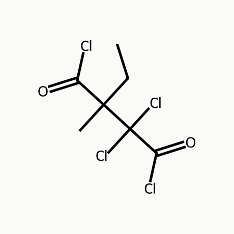 CCC(C)(C(=O)Cl)C(Cl)(Cl)C(=O)Cl